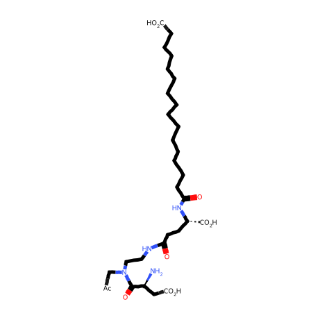 CC(=O)CN(CCNC(=O)CC[C@H](NC(=O)CCCCCCCCCCCCCCC(=O)O)C(=O)O)C(=O)[C@@H](N)CC(=O)O